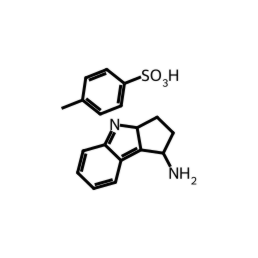 Cc1ccc(S(=O)(=O)O)cc1.NC1CCC2N=c3ccccc3=C12